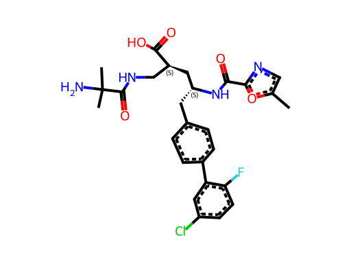 Cc1cnc(C(=O)N[C@H](Cc2ccc(-c3cc(Cl)ccc3F)cc2)C[C@@H](CNC(=O)C(C)(C)N)C(=O)O)o1